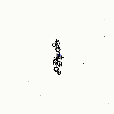 COc1cccc(-n2ncc3c(N/N=C/C4CCN(C(=O)OC(C)(C)C)CC4)ncnc32)c1